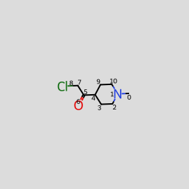 CN1CCC(C(=O)CCl)CC1